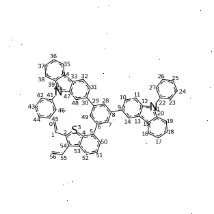 C=Cc1sc2c(-c3cc(-c4ccc5c(c4)c4ccccc4n5-c4ccccc4)cc(-c4ccc5c6ccccc6n(-c6ccccc6)c5c4)c3)cccc2c1C=C